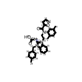 Cc1ccc(C[C@@H](CNC(=O)c2ccno2)n2/c(=N/C(=O)O)n(Cc3ccc(C)cc3)c3ccccc32)cc1